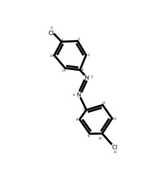 Clc1ccc(/N=N/c2ccc(Cl)cc2)cc1